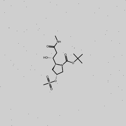 CNC(=O)C[C@@H](O)[C@@H]1C[C@@H](OS(C)(=O)=O)CN1C(=O)OC(C)(C)C